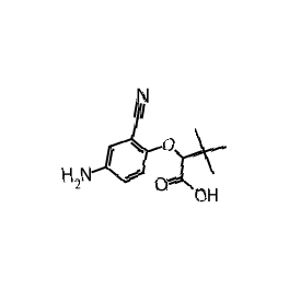 CC(C)(C)C(Oc1ccc(N)cc1C#N)C(=O)O